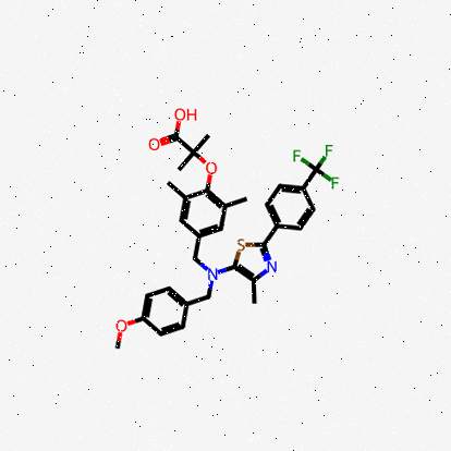 COc1ccc(CN(Cc2cc(C)c(OC(C)(C)C(=O)O)c(C)c2)c2sc(-c3ccc(C(F)(F)F)cc3)nc2C)cc1